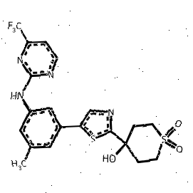 Cc1cc(Nc2nccc(C(F)(F)F)n2)cc(-c2cnc(C3(O)CCS(=O)(=O)CC3)s2)c1